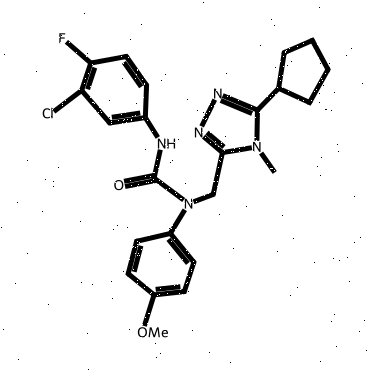 COc1ccc(N(Cc2nnc(C3CCCC3)n2C)C(=O)Nc2ccc(F)c(Cl)c2)cc1